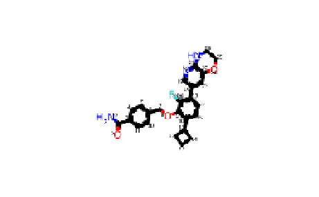 NC(=O)c1ccc(COc2c(C3CCC3)ccc(-c3cnc4c(c3)OCCN4)c2F)cc1